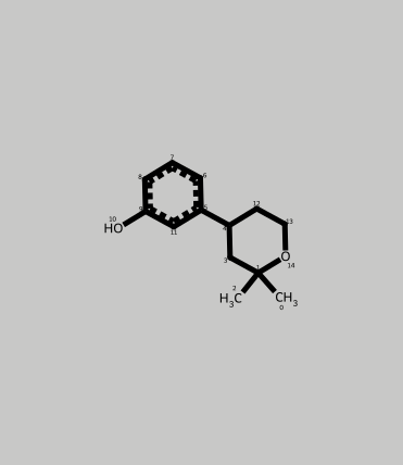 CC1(C)CC(c2cccc(O)c2)CCO1